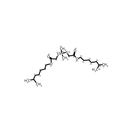 CC(C)CCCCCOC(=O)C[S][Sn]([CH3])([CH3])[S]CC(=O)OCCCCCC(C)C